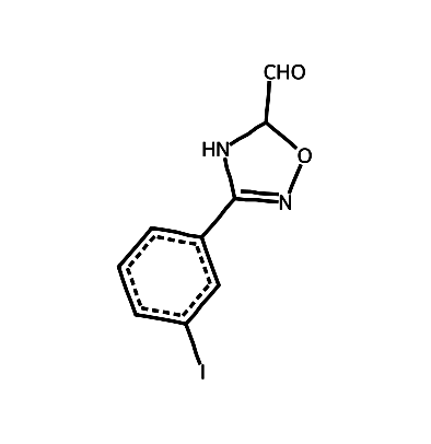 O=CC1NC(c2cccc(I)c2)=NO1